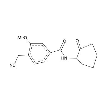 COc1cc(C(=O)NC2CCCCC2=O)ccc1CC#N